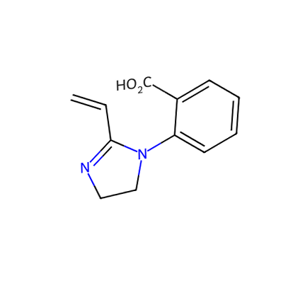 C=CC1=NCCN1c1ccccc1C(=O)O